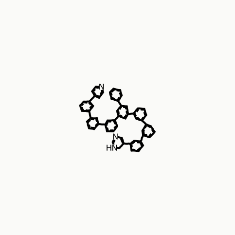 C1=NC=C(c2cccc(-c3cccc(-c4cccc(-c5cc(-c6ccccc6)cc(-c6cccc(-c7cccc(-c8cccc(-c9ccncc9)c8)c7)c6)c5)c4)c3)c2)CN1